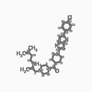 C=C(CN1CCN(C(=O)C2CCN(c3nn4cc(-c5ccc(Cl)cc5)nc4s3)CC2)CC1)NCCN(C)C